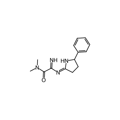 CN(C)C(=O)C(=N)/N=C1/CCC(c2ccccc2)N1